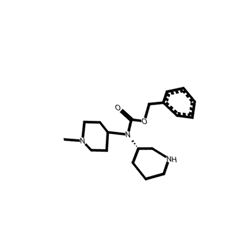 CN1CCC(N(C(=O)OCc2ccccc2)[C@H]2CCCNC2)CC1